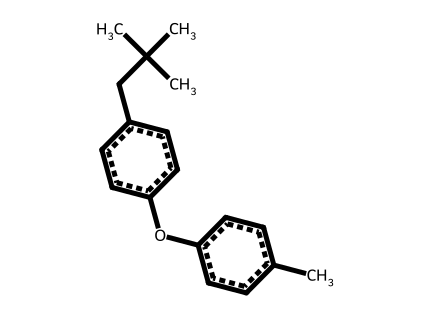 Cc1ccc(Oc2ccc(CC(C)(C)C)cc2)cc1